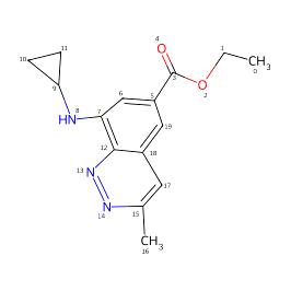 CCOC(=O)c1cc(NC2CC2)c2nnc(C)cc2c1